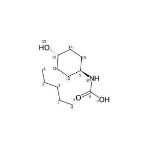 CCCCC.O=C(O)N[C@H]1CC[C@H](O)CC1